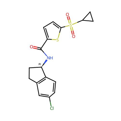 O=C(N[C@@H]1CCc2cc(Cl)ccc21)c1ccc(S(=O)(=O)C2CC2)s1